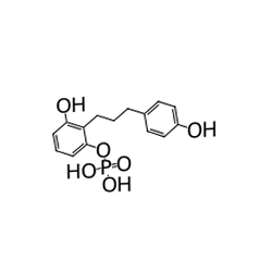 O=P(O)(O)Oc1cccc(O)c1CCCc1ccc(O)cc1